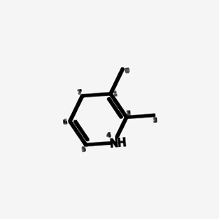 CC1=C(C)NC=CC1